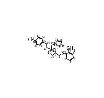 Cc1ccccc1SCC1COC(CCc2ccc(Cl)cc2)(Cn2ccnc2)O1